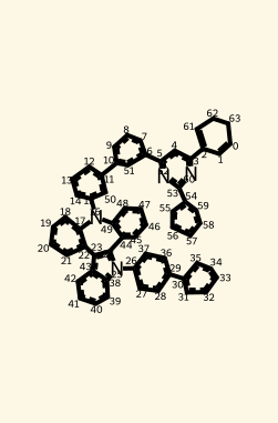 C1=CC(c2cc(-c3cccc(-c4cccc(N5c6ccccc6-c6c(n(-c7ccc(-c8ccccc8)cc7)c7ccccc67)-c6ccccc65)c4)c3)nc(-c3ccccc3)n2)=CCC1